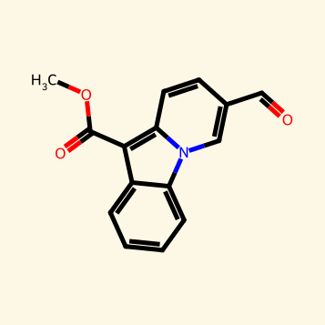 COC(=O)c1c2ccccc2n2cc(C=O)ccc12